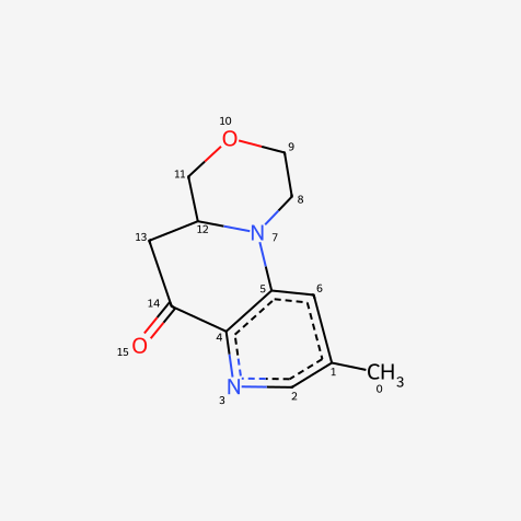 Cc1cnc2c(c1)N1CCOCC1CC2=O